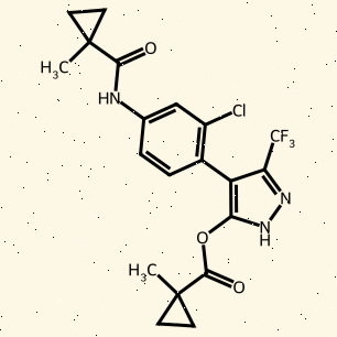 CC1(C(=O)Nc2ccc(-c3c(C(F)(F)F)n[nH]c3OC(=O)C3(C)CC3)c(Cl)c2)CC1